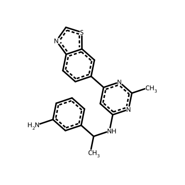 Cc1nc(NC(C)c2cccc(N)c2)cc(-c2ccc3ncsc3c2)n1